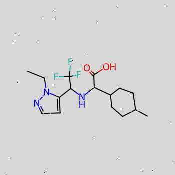 CCn1nccc1C(NC(C(=O)O)C1CCC(C)CC1)C(F)(F)F